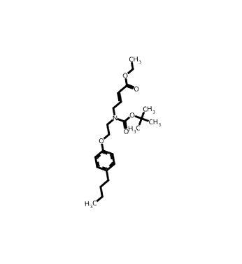 CCCCc1ccc(OCCN(C/C=C/C(=O)OCC)C(=O)OC(C)(C)C)cc1